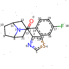 O=C(c1cscn1)N1C2CCC1CC(c1ccc(F)cc1)C2